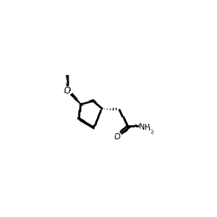 CO[C@@H]1CC[C@@H](CC(N)=O)C1